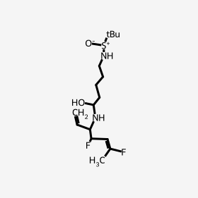 C=CC(NC(O)CCCCN[S+]([O-])C(C)(C)C)C(F)/C=C(\C)F